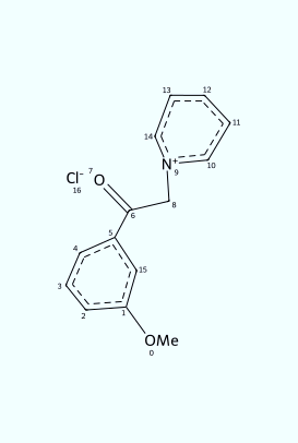 COc1cccc(C(=O)C[n+]2ccccc2)c1.[Cl-]